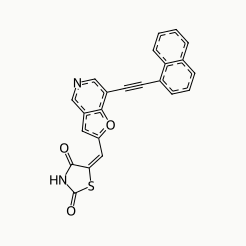 O=C1NC(=O)/C(=C\c2cc3cncc(C#Cc4cccc5ccccc45)c3o2)S1